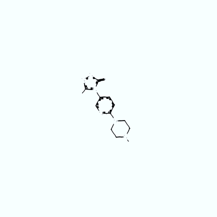 CCOC(=O)N1CCN(c2ccc(-n3c(C)n[nH]c3=O)cn2)CC1